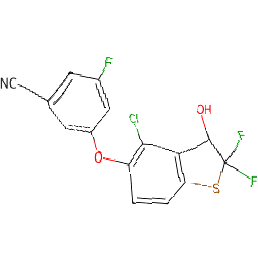 N#Cc1cc(F)cc(Oc2ccc3c(c2Cl)C(O)C(F)(F)S3)c1